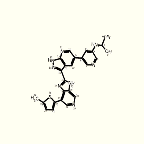 CCCC(O)Nc1cncc(-c2cnc3[nH]nc(-c4nc5c(-c6ccc(C)s6)cncc5[nH]4)c3c2)c1